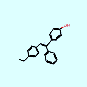 CCc1ccc(/C=C(\c2ccccc2)c2ccc(O)cc2)cc1